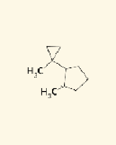 C[C]1CCCC1C1(C)CC1